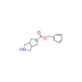 O=C(OCc1ccccc1)N1CC2CNCC2C1